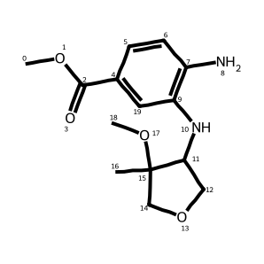 COC(=O)c1ccc(N)c(NC2COCC2(C)OC)c1